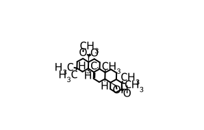 COC(=O)[C@]12CCC(C)(C)C[C@@H]1C1=CC[C@@H]3[C@@]4(CO)CCC(=O)C(C)(C)C4CC[C@@]3(C)[C@]1(C)CC2